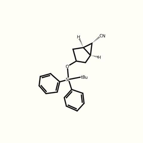 CC(C)(C)[Si](OC1C[C@@H]2[C@@H](C#N)[C@@H]2C1)(c1ccccc1)c1ccccc1